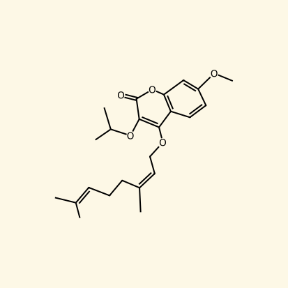 COc1ccc2c(OCC=C(C)CCC=C(C)C)c(OC(C)C)c(=O)oc2c1